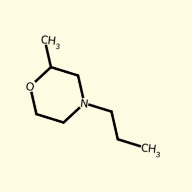 CCCN1CCOC(C)C1